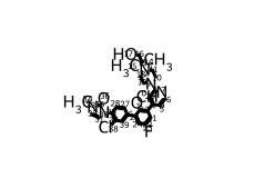 COc1c(-c2ccnc(N3CCN(C(C)(C)CO)CC3)c2)cc(F)cc1-c1ccc(-n2ccn(C)c2=O)c(Cl)c1